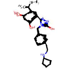 CC(C)c1cc(-c2nnc(O)n2Cc2ccc(CNC3CCCC3)cc2)c(O)cc1O